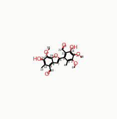 COc1c(C)c(-c2cc3c(C=O)c(C)c(O)c(OC)c3o2)c(C=O)c(O)c1OC